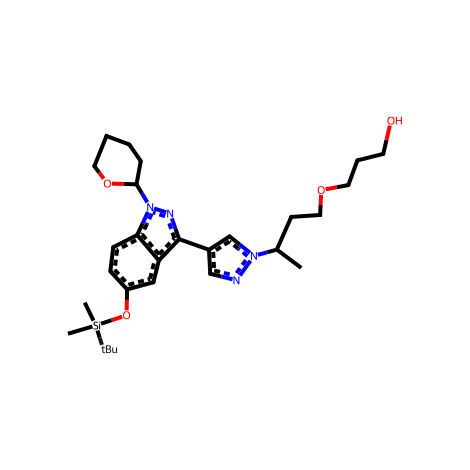 CC(CCOCCCO)n1cc(-c2nn(C3CCCCO3)c3ccc(O[Si](C)(C)C(C)(C)C)cc23)cn1